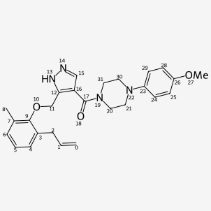 C=CCc1cccc(C)c1OCc1[nH]ncc1C(=O)N1CCN(c2ccc(OC)cc2)CC1